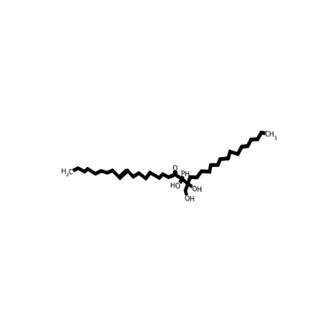 CCCCCCCCC=CCCCCCCCC(=O)C(O)(P)C(O)(CO)CCCCCCCCCCCCCCCC